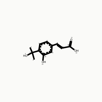 CC(C)(O)c1ccc(/C=C/C(=O)O)cc1O